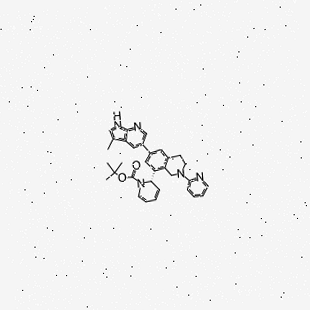 Cc1c[nH]c2ncc(-c3cc4c(c([C@@H]5C=CC=CN5C(=O)OC(C)(C)C)c3)CN(c3ccccn3)CC4)cc12